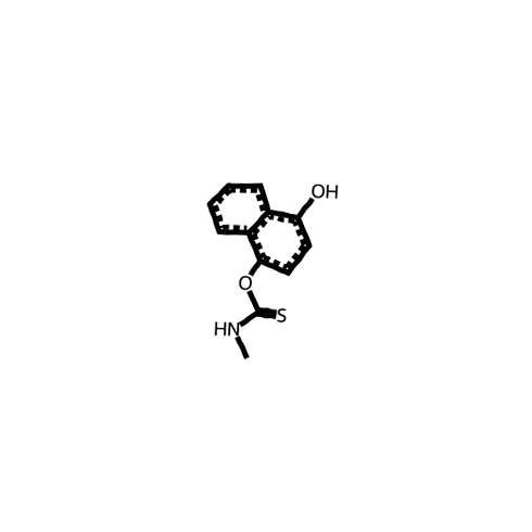 CNC(=S)Oc1ccc(O)c2ccccc12